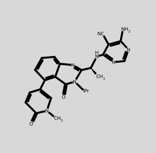 CC(C)n1c([C@H](C)Nc2ncnc(N)c2C#N)nc2cccc(-c3ccc(=O)n(C)c3)c2c1=O